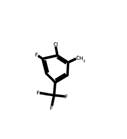 Cc1cc(C(F)(F)F)cc(F)c1Cl